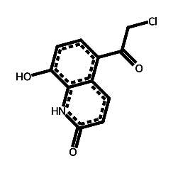 O=C(CCl)c1ccc(O)c2[nH]c(=O)ccc12